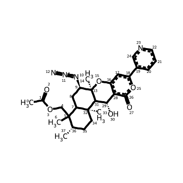 CC(=O)OCC1(C)C2C[C@@H](N=[N+]=[N-])[C@@]3(C)Oc4cc(-c5cccnc5)oc(=O)c4[C@H](O)C3[C@@]2(C)CC[C@@H]1C